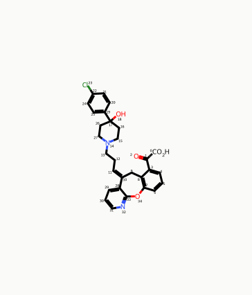 O=C(O)C(=O)c1cccc2c1CC(=CCCN1CCC(O)(c3ccc(Cl)cc3)CC1)c1cccnc1O2